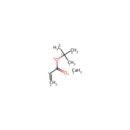 C=CC(=O)OC(C)(C)C.[CaH2]